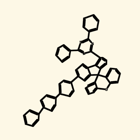 c1ccc(-c2ccc(-c3ccc(-c4ccc5c(c4)C4(c6ccccc6Oc6ccccc64)c4cccc(-c6nc(-c7ccccc7)nc(-c7ccccc7)n6)c4-5)cc3)cc2)cc1